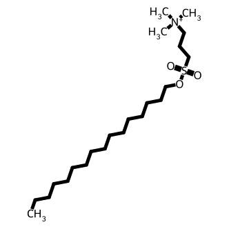 CCCCCCCCCCCCCCCCOS(=O)(=O)CCC[N+](C)(C)C